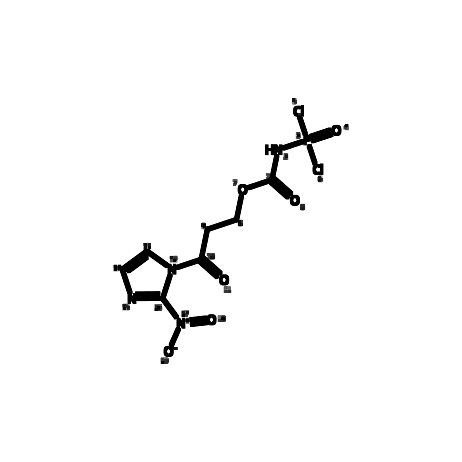 O=C(NP(=O)(Cl)Cl)OCCC(=O)n1ccnc1[N+](=O)[O-]